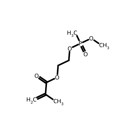 C=C(C)C(=O)OCCOP(C)(=O)OC